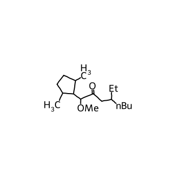 CCCCC(CC)CC(=O)C(OC)C1C(C)CCC1C